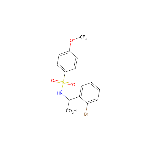 O=C(O)C(NS(=O)(=O)c1ccc(OC(F)(F)F)cc1)c1ccccc1Br